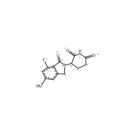 CC(C)(C)c1cc(F)c2c(c1)CN(C1CCC(=O)NC1=O)C2=O